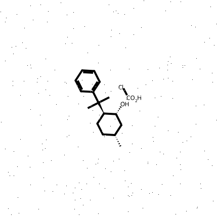 C[C@@H]1CC[C@@H](C(C)(C)c2ccccc2)[C@H](O)C1.O=C(O)Cl